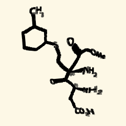 COC(=O)[C@@](N)(CSC1CCCC(C)C1)C(=O)[C@@H](N)CC(=O)O